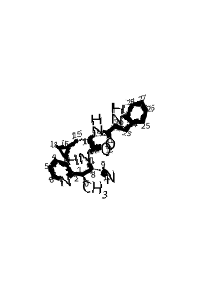 C[C@@H](c1ccccn1)[C@@H](C#N)NC(=O)[C@H](CC1CC1)NC(=O)c1cc2ccccc2[nH]1